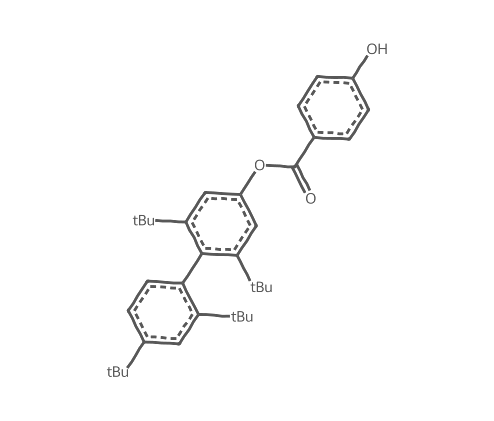 CC(C)(C)c1ccc(-c2c(C(C)(C)C)cc(OC(=O)c3ccc(O)cc3)cc2C(C)(C)C)c(C(C)(C)C)c1